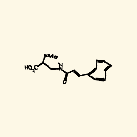 CNC(CNC(=O)/C=C/C1=C\C=C/C=C/C=C\1)C(=O)O